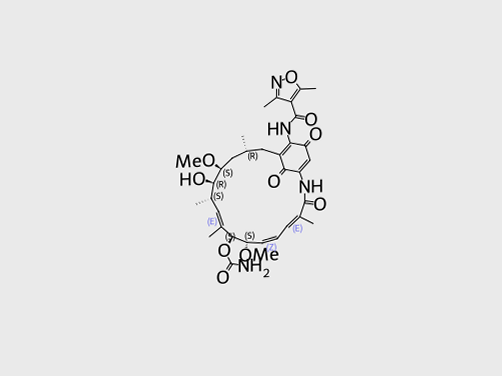 CO[C@H]1/C=C\C=C(/C)C(=O)NC2=CC(=O)C(NC(=O)c3c(C)noc3C)=C(C[C@@H](C)C[C@H](OC)[C@H](O)[C@@H](C)/C=C(\C)[C@@H]1OC(N)=O)C2=O